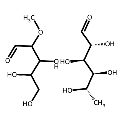 COC(C=O)C(O)C(O)CO.C[C@H](O)[C@H](O)[C@@H](O)[C@@H](O)C=O